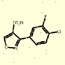 CCOC(=O)c1conc1-c1ccc(Cl)c(F)c1